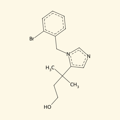 CC(C)(CCO)c1cncn1Cc1ccccc1Br